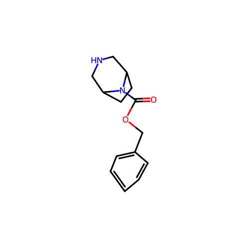 O=C(OCc1ccccc1)N1C2CCC1CNC2